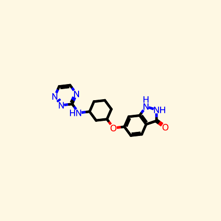 O=c1[nH][nH]c2cc(OC3CCCC(Nc4nccnn4)C3)ccc12